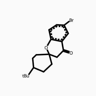 CC(C)(C)C1CCC2(CC1)CC(=O)c1cc(Br)ccc1O2